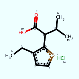 CCc1ccsc1C(C(=O)O)C(C)C.Cl